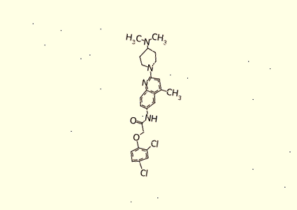 Cc1cc(N2CCC(N(C)C)CC2)nc2ccc(NC(=O)COc3ccc(Cl)cc3Cl)cc12